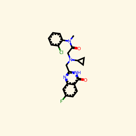 CN(C(=O)CN(Cc1nc2cc(F)ccc2c(=O)[nH]1)C1CC1)c1ccccc1Cl